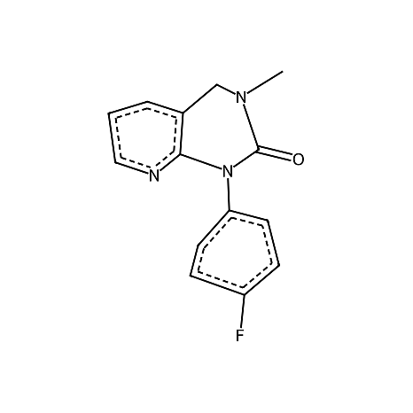 CN1Cc2cccnc2N(c2ccc(F)cc2)C1=O